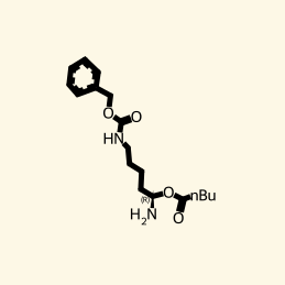 CCCCC(=O)O[C@@H](N)CCCCNC(=O)OCc1ccccc1